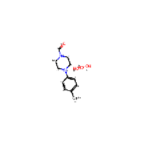 O=CN1CCN(c2cc[c]([Ge+3])cc2)CC1.[OH-].[OH-].[OH-]